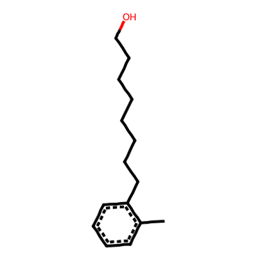 Cc1ccccc1CCCCCCCCO